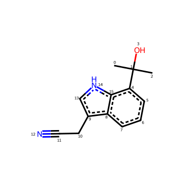 CC(C)(O)c1cccc2c(CC#N)c[nH]c12